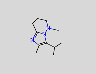 Cc1nc2n(c1C(C)C)N(C)CCC2